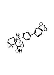 CC1(C)SCCN(S(=O)(=O)c2ccc(-c3ccc4c(c3)OCO4)cc2)[C@H]1C(=O)O